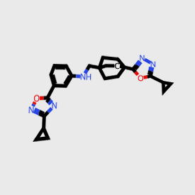 c1cc(NCC23CCC(c4nnc(C5CC5)o4)(CC2)CC3)cc(-c2nc(C3CC3)no2)c1